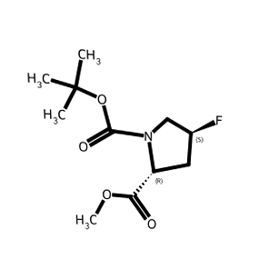 COC(=O)[C@H]1C[C@H](F)CN1C(=O)OC(C)(C)C